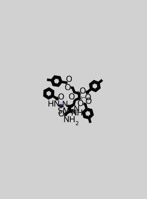 CS/C(=N\c1c(C2OC(COC(=O)c3ccc(C)cc3)[C@@H](OC(=O)c3ccc(C)cc3)[C@@]2(C)OC(=O)c2ccc(C)cc2)n[nH]c1C(N)=O)NC(=O)c1ccccc1